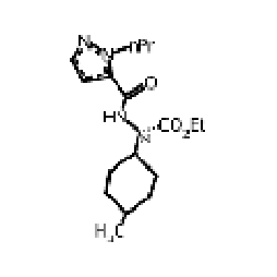 CCCn1nccc1C(=O)N[C@H](C(=O)OCC)C1CCC(C)CC1